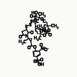 CCC(C)(C)OP(=O)(O)OC(C)(C)CCOC(C)(C)P(=O)(O)OSSSC1CC(=O)N(C2(C)CC2C(=O)Oc2ccc(S(=O)(=O)O)cc2[N+](=O)[O-])C1=O